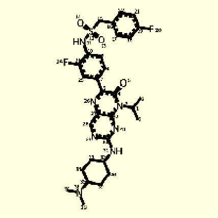 CC(C)n1c(=O)c(-c2ccc(NS(=O)(=O)Cc3ccc(F)cc3)c(F)c2)nc2cnc(NC3CCC(N(C)C)CC3)nc21